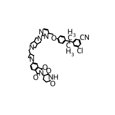 CC(C)(c1ccc(OCc2ccnc(N3CC4CN(CC5CN(c6ccc7c(c6)C(=O)N(C6CCC(=O)NC6=O)C7=O)C5)CC4C3)n2)cc1)c1cc(Cl)cc(C#N)c1